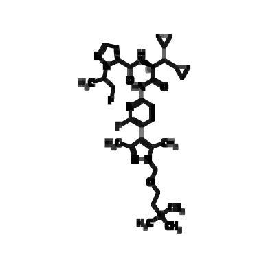 Cc1nn(COCC[Si](C)(C)C)c(C)c1-c1ccc(NC(=O)[C@@H](NC(=O)c2ccnn2C(C)CF)C(C2CC2)C2CC2)nc1F